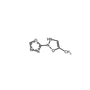 CC1=CNN(c2nnco2)O1